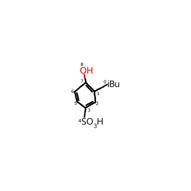 CCC(C)c1cc(S(=O)(=O)O)ccc1O